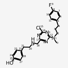 CN(CCCc1ccc(F)cc1)c1nc(Cl)nc(CNCCc2ccc(O)cc2)n1